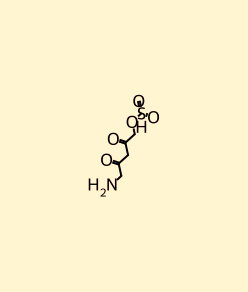 NCC(=O)CC(=O)CO[SH](=O)=O